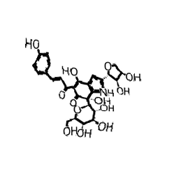 O=C(/C=C/c1ccc(O)cc1)C1=C(O)c2cc([C@@H]3OC[C@@H](O)[C@H]3O)[nH]c2[C@@](O)([C@@H]2O[C@H](CO)[C@@H](O)[C@H](O)[C@H]2O)C1=O